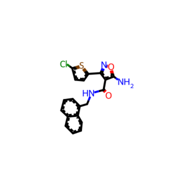 Nc1onc(-c2ccc(Cl)s2)c1C(=O)NCc1cccc2ccccc12